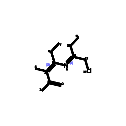 C=C(C)/C(C)=C(CC)\N=C(/CC)CCl